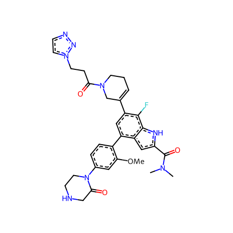 COc1cc(N2CCNCC2=O)ccc1-c1cc(C2=CCCN(C(=O)CCn3ccnn3)C2)c(F)c2[nH]c(C(=O)N(C)C)cc12